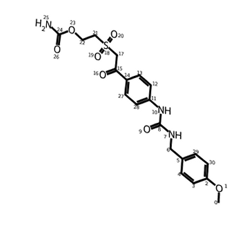 COc1ccc(CNC(=O)Nc2ccc(C(=O)CS(=O)(=O)CCOC(N)=O)cc2)cc1